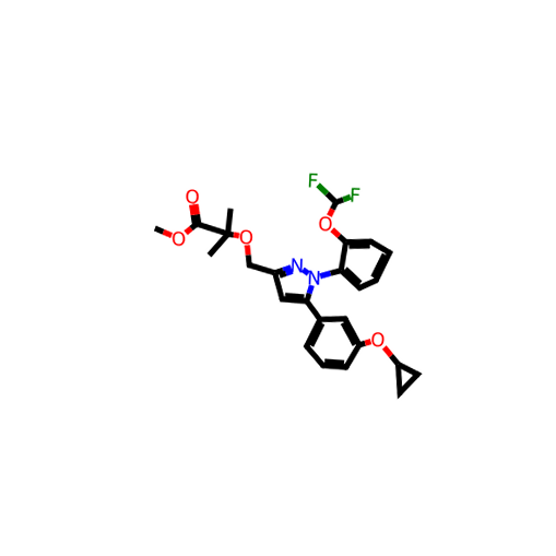 COC(=O)C(C)(C)OCc1cc(-c2cccc(OC3CC3)c2)n(-c2ccccc2OC(F)F)n1